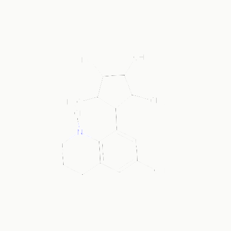 Cc1cc2c(c(C3C(C)C(C)C(C)C3C)c1)N(C)CCC2